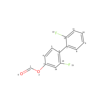 O=COc1ccc(-c2ccccc2F)c(F)c1